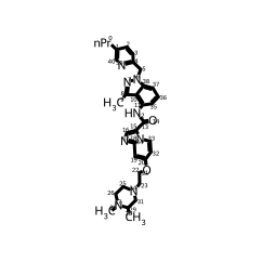 CCCc1ccc(Cn2nc(C)c3c(NC(=O)c4cnc5cc(OCCN6CCN(C)C(C)C6)ccn45)cccc32)nc1